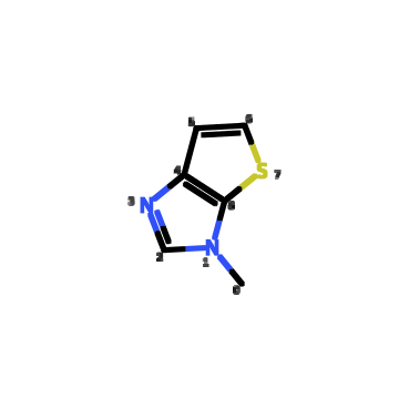 Cn1cnc2ccsc21